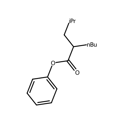 CCCCC(CC(C)C)C(=O)Oc1ccccc1